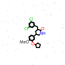 COc1ccc(C2CNC(=O)C(Cc3cc(Cl)cc(Cl)c3)C2)cc1OC1CCCC1